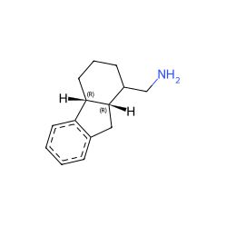 NCC1CCC[C@H]2c3ccccc3C[C@@H]12